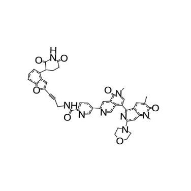 Cc1cc2c(-c3cn(C)c(=O)c4cc(-c5ccc(C(=O)NCC#Cc6cc7c(C8CCC(=O)NC8=O)cccc7o6)nc5)ncc34)nc(N3CCOCC3)cc2n(C)c1=O